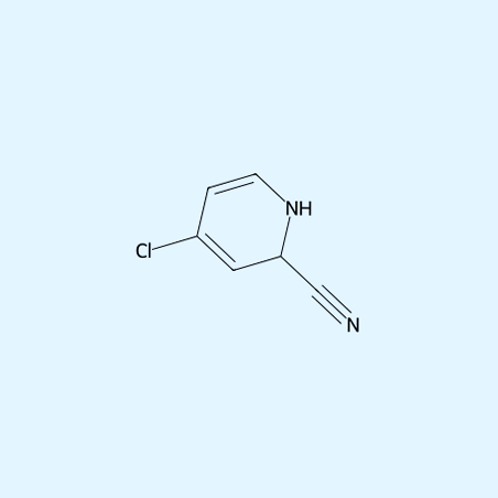 N#CC1C=C(Cl)C=CN1